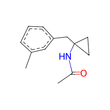 CC(=O)NC1(Cc2cccc(C)c2)CC1